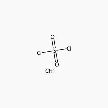 O=S(=O)(Cl)Cl.[CH]